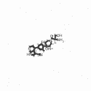 Cc1cc(-c2ccnc3[nH]cc(C#N)c23)cc(F)c1[C@@]1(O)[C@H](C)CN(C(=O)[C@](C)(N)CO)C[C@@H]1C